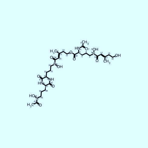 CC(=O)N[C@@H](CCCN(O)C(=O)/C=C(\C)CCO)C(=O)OCC/C(C)=C/C(=O)N(O)CCCC1NC(=O)[C@@H](CCCN(O)C(C)=O)NC1=O